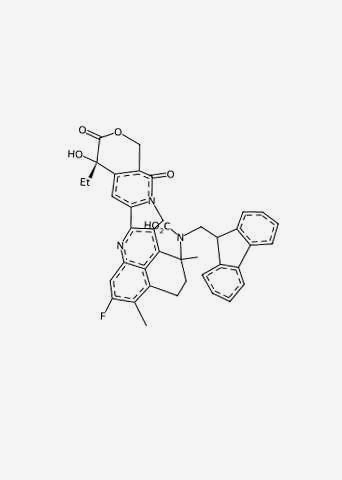 CC[C@@]1(O)C(=O)OCc2c1cc1n(c2=O)Cc2c-1nc1cc(F)c(C)c3c1c2C(C)(N(CC1c2ccccc2-c2ccccc21)C(=O)O)CC3